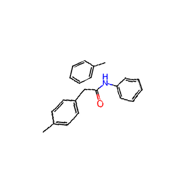 Cc1ccc(CC(=O)Nc2ccccc2)cc1.Cc1ccccc1